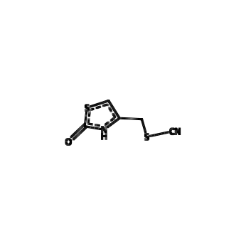 N#CSCc1csc(=O)[nH]1